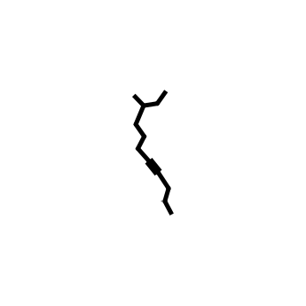 C[CH]CC#CCCCC(C)CC